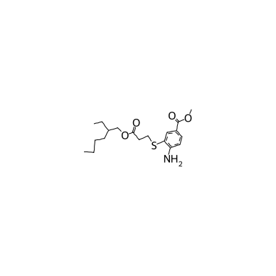 CCCCC(CC)COC(=O)CCSc1cc(C(=O)OC)ccc1N